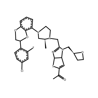 CC(=O)C1=CC2C(N=C(CN3CCN(c4cccc5c4OC(c4ccc(Cl)cc4F)CO5)C[C@@H]3C)N2C[C@@H]2CCO2)S1